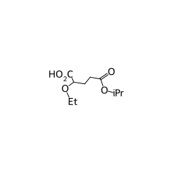 CCOC(CCC(=O)OC(C)C)C(=O)O